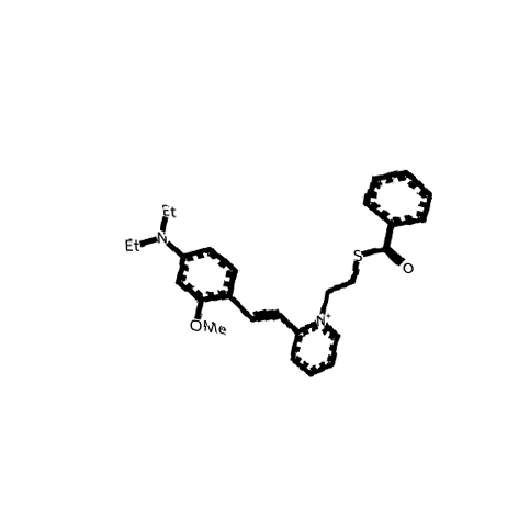 CCN(CC)c1ccc(/C=C/c2cccc[n+]2CCSC(=O)c2ccccc2)c(OC)c1